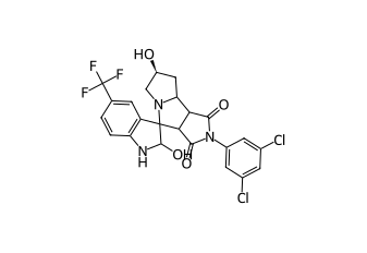 O=C1C2C3C[C@H](O)CN3C3(c4cc(C(F)(F)F)ccc4NC3O)C2C(=O)N1c1cc(Cl)cc(Cl)c1